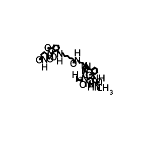 CNC(=O)c1nnc(NC(=O)C2CC2)cc1Nc1cccc(-c2ncn(CCNC(=O)CCCCCNc3cccc4c3C(=O)N(C3CCC(=O)NC3=O)C4=O)n2)c1OC